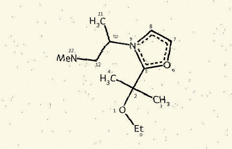 CCOC(C)(C)c1occ[n+]1C(C)CNC